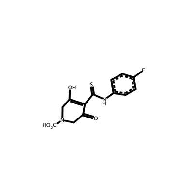 O=C1CN(C(=O)O)CC(O)=C1C(=S)Nc1ccc(F)cc1